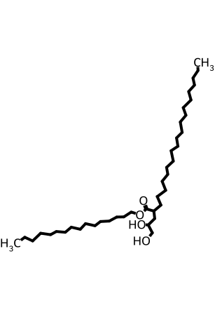 CCCCCCCCCCCCCCCCCCCCC(CC(O)CO)C(=O)OCCCCCCCCCCCCCCCC